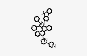 CC1(C)c2ccccc2-c2ccc(-n3c(-c4ccccc4)c(-c4ccccc4)c4c5c6ccccc6c(-c6cccc(-c7ccncc7)n6)cc5c5ccccc5c43)cc21